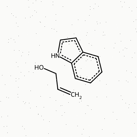 C=CCO.c1ccc2[nH]ccc2c1